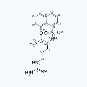 N=C(N)NCCC[C@H](NS(=O)(=O)c1cccc2ccccc12)C(N)=O